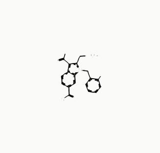 COCc1c(C(=O)C(C)C)c2ccc(C(N)=O)cc2n1Cc1ccccc1Cl